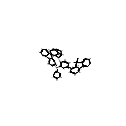 CC1(C)c2ccccc2-c2cccc(-c3cccc(N(c4ccccc4)c4ccc5c(c4)C4(c6ccccc6-5)C5CC6CC(C5)CC4C6)c3)c21